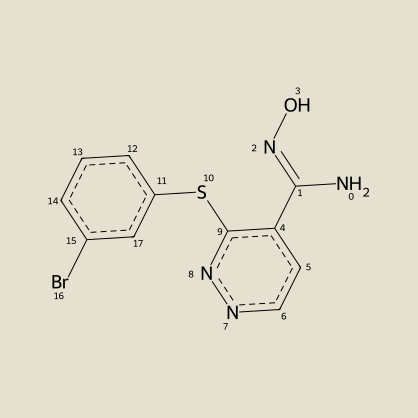 NC(=NO)c1ccnnc1Sc1cccc(Br)c1